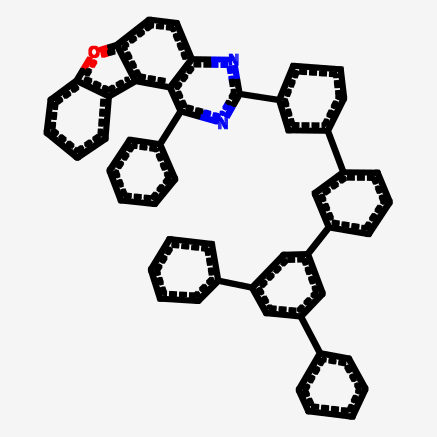 c1ccc(-c2cc(-c3ccccc3)cc(-c3cccc(-c4cccc(-c5nc(-c6ccccc6)c6c(ccc7oc8ccccc8c76)n5)c4)c3)c2)cc1